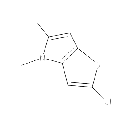 Cc1cc2sc(Cl)cc2n1C